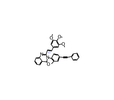 COc1cc(/C=C/c2nc3ccccc3c(=O)n2-c2ccc(C#Cc3ccccc3)cc2C)cc(OC)c1OC